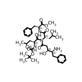 COC(=O)[C@H](Cc1ccccc1)NC(=O)[C@H](CC(C)C)N(C(=O)C[C@H](O)[C@@H](N)Cc1ccccc1)C(=O)[C@H](CC(C)C)NC(=O)OC(C)(C)C